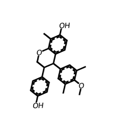 COc1c(C)cc(C2c3ccc(O)c(C)c3OCC2c2ccc(O)cc2)cc1C